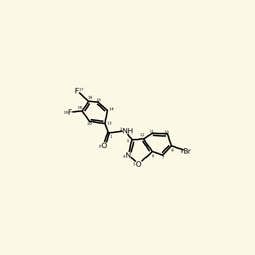 O=C(Nc1noc2cc(Br)ccc12)c1ccc(F)c(F)c1